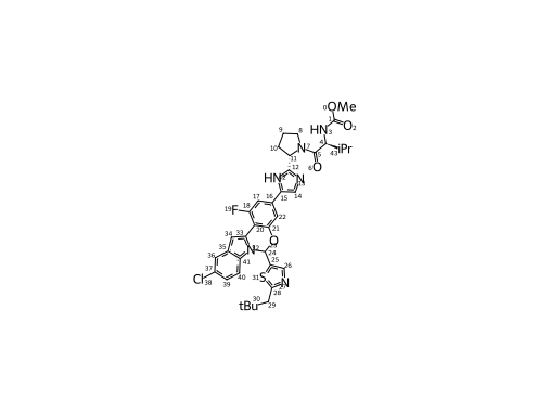 COC(=O)N[C@H](C(=O)N1CCC[C@H]1c1ncc(-c2cc(F)c3c(c2)OC(c2cnc(CC(C)(C)C)s2)n2c-3cc3cc(Cl)ccc32)[nH]1)C(C)C